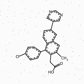 Cc1cc2cc(-c3cncnc3)ccc2c(-c2ccc(Cl)cc2)c1CC(=O)O